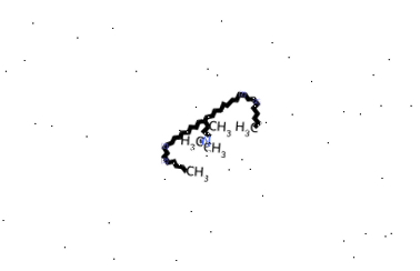 CCCCC/C=C\C/C=C\CCCCCCCCC(CCCCCCCC/C=C\C/C=C\CCCCC)C(C)CCN(C)C